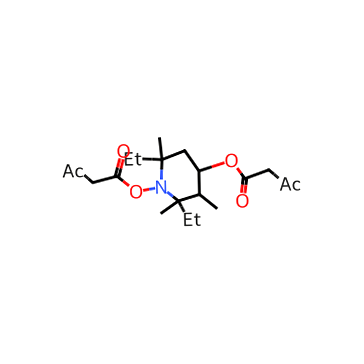 CCC1(C)CC(OC(=O)CC(C)=O)C(C)C(C)(CC)N1OC(=O)CC(C)=O